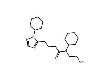 O=C(CCCc1nnnn1C1CCCCC1)N(CCO)C1CCCCC1